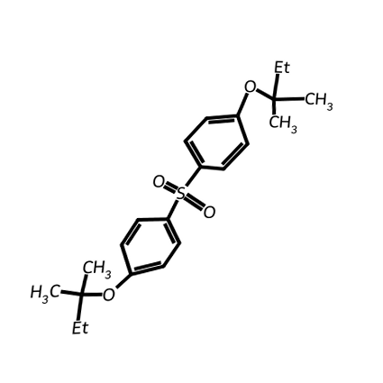 CCC(C)(C)Oc1ccc(S(=O)(=O)c2ccc(OC(C)(C)CC)cc2)cc1